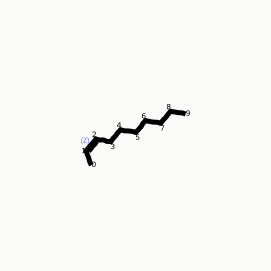 C/C=C\CCCCCCC